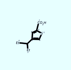 CCC(CC)c1csc(C(=O)O)c1